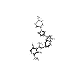 Cc1ncc(Cl)c([C@@H](N)Oc2ccc3[nH]nc(-c4cnn(C5CCN(C)CC5)c4)c3c2)c1Cl